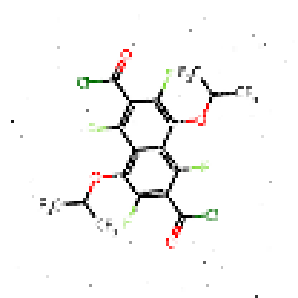 O=C(Cl)c1c(F)c(OC(C(F)(F)F)C(F)(F)F)c2c(F)c(C(=O)Cl)c(F)c(OC(C(F)(F)F)C(F)(F)F)c2c1F